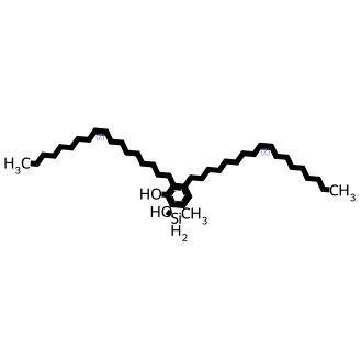 CCCCCCCC/C=C\CCCCCCCCc1cccc(O)c1CCCCCCCC/C=C\CCCCCCCC.C[SiH2]O